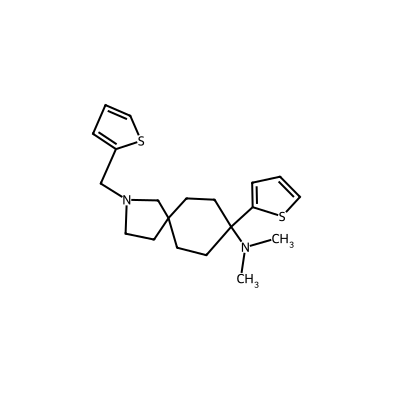 CN(C)C1(c2cccs2)CCC2(CCN(Cc3cccs3)C2)CC1